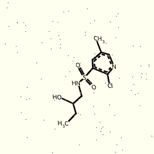 CCC(O)CNS(=O)(=O)c1cc(C)cnc1Cl